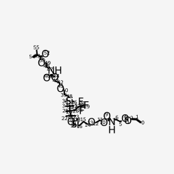 C=C=COOCCNC(=O)OCCOCCC[Si](C)(C)OC(C)(C)C(C)(CCC(F)(F)F)C(C)(C)[Si](C)(C)CCCOCCOC(=O)NCCOC(=O)C(=C)C